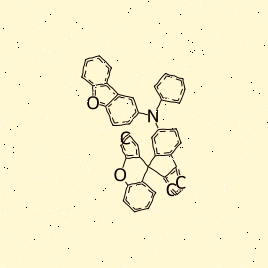 c1ccc(N(c2ccc3c(c2)C2(c4ccccc4Oc4ccccc42)c2ccccc2-3)c2ccc3oc4ccccc4c3c2)cc1